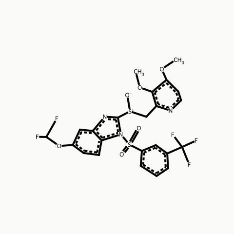 COc1ccnc(C[S+]([O-])c2nc3cc(OC(F)F)ccc3n2S(=O)(=O)c2cccc(C(F)(F)F)c2)c1OC